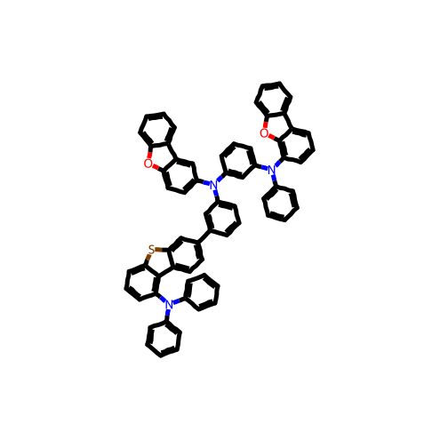 c1ccc(N(c2cccc(N(c3cccc(-c4ccc5c(c4)sc4cccc(N(c6ccccc6)c6ccccc6)c45)c3)c3ccc4oc5ccccc5c4c3)c2)c2cccc3c2oc2ccccc23)cc1